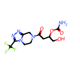 NC(=O)OC(CO)CC(=O)N1CCn2c(nnc2C(F)(F)F)C1